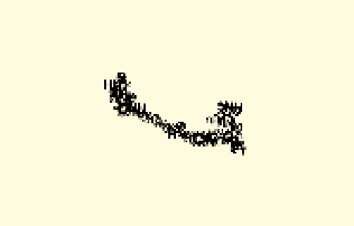 CCCc1cc(C)[nH]c(=O)c1CNC(=O)c1cc(-c2ccc(N3CCN(CCNC(=O)CCOCCOCCOCCNc4cccc5c4C(=O)N(C4CCC(=O)NC4=O)C5=O)CC3)nc2)cc2c1cnn2C(C)C